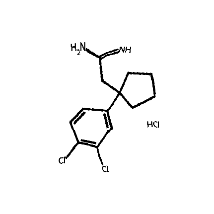 Cl.N=C(N)CC1(c2ccc(Cl)c(Cl)c2)CCCC1